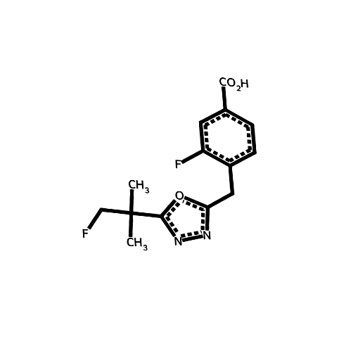 CC(C)(CF)c1nnc(Cc2ccc(C(=O)O)cc2F)o1